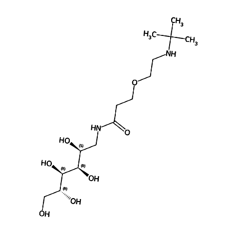 CC(C)(C)NCCOCCC(=O)NC[C@H](O)[C@@H](O)[C@H](O)[C@H](O)CO